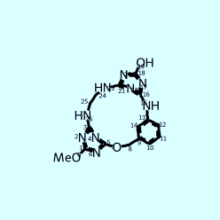 COc1nc2nc(n1)OCc1cccc(c1)Nc1nc(O)nc(n1)NCCN2